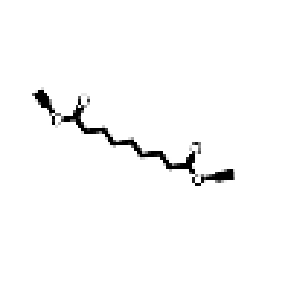 C#COC(=O)CCCCCCCC(=O)OC#C